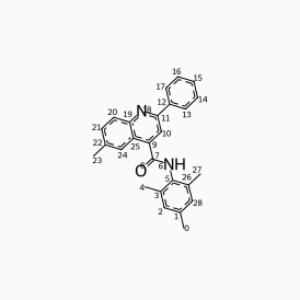 Cc1cc(C)c(NC(=O)c2cc(-c3ccccc3)nc3ccc(C)cc23)c(C)c1